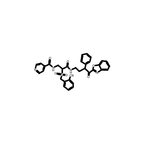 N#Cc1ccccc1CS(=O)(=O)C(CNC(=O)c1ccncc1)C(=O)NCCC(C(=O)c1nc2ccccc2o1)c1ccccc1